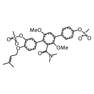 COc1cc(-c2ccc(OS(C)(=O)=O)cc2)c(OC)c(C(=O)N(C)C)c1-c1ccc(OCC=C(C)C)c(OS(C)(=O)=O)c1